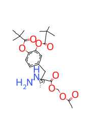 CC(=O)OCOC(=O)[C@](C)(Cc1ccc(OC(=O)C(C)(C)C)c(OC(=O)C(C)(C)C)c1)NN